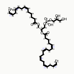 CC/C=C\C/C=C\C/C=C\C/C=C\C/C=C\CCCC(=O)O[C@H](COC(=O)CCCC/C=C\C/C=C\C/C=C\CCCCC)COP(=O)(O)OC[C@@H](O)CO